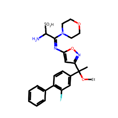 CCOC(C)(c1ccc(-c2ccccc2)c(F)c1)c1cc(N=C(C(N)S(=O)(=O)O)N2CCOCC2)on1